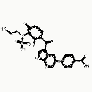 CCCN(c1c(F)ccc(C(=O)c2c[nH]c3ncc(-c4ccc(C(=O)O)cc4)cc23)c1F)S(=O)(=O)O